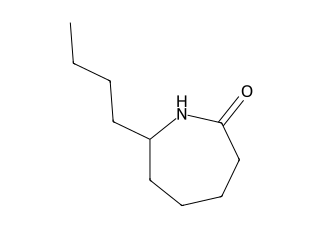 CCCCC1CCCCC(=O)N1